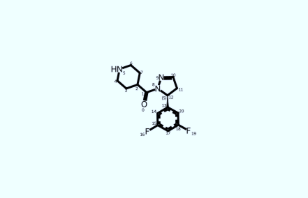 O=C(C1CCNCC1)N1N=CC[C@H]1c1cc(F)cc(F)c1